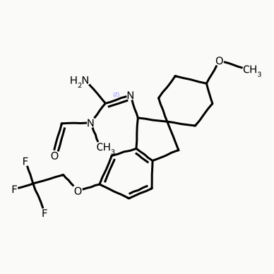 COC1CCC2(CC1)Cc1ccc(OCC(F)(F)F)cc1C2/N=C(/N)N(C)C=O